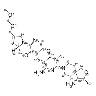 COCOCC1C[C@H]2COc3c(Sc4c(N)nc(N5CCC6(CC5)CO[C@@H](C)[C@H]6N)n(C)c4=O)ccnc3N2C1